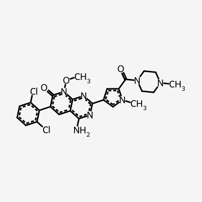 COn1c(=O)c(-c2c(Cl)cccc2Cl)cc2c(N)nc(-c3cc(C(=O)N4CCN(C)CC4)n(C)c3)nc21